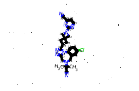 CC(C)(C#N)N1Cc2cc(Cl)ccc2-n2c(nnc2C2CC3(C2)CN(c2nccc(C#N)n2)C3)C1